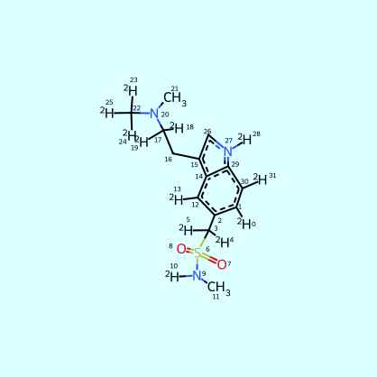 [2H]c1c(C([2H])([2H])S(=O)(=O)N([2H])C)c([2H])c2c(CC([2H])([2H])N(C)C([2H])([2H])[2H])cn([2H])c2c1[2H]